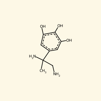 CC(N)(CN)c1cc(O)c(O)c(O)c1